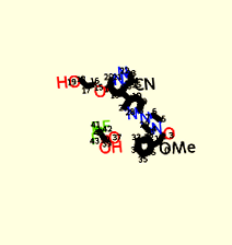 CO[C@H](C(=O)N1CCN(c2ccc(-c3cc(OCCCO)cn4ncc(C#N)c34)cn2)CC1)c1ccccc1.O=C(O)C(F)(F)F